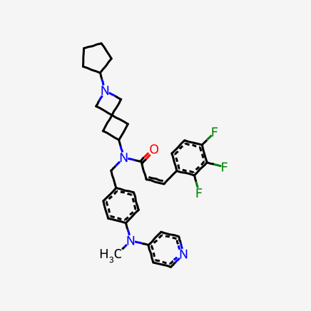 CN(c1ccncc1)c1ccc(CN(C(=O)C=Cc2ccc(F)c(F)c2F)C2CC3(C2)CN(C2CCCC2)C3)cc1